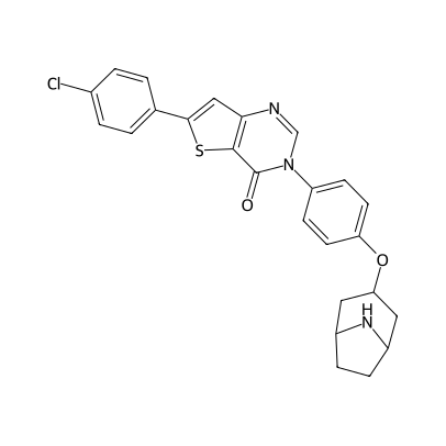 O=c1c2sc(-c3ccc(Cl)cc3)cc2ncn1-c1ccc(OC2CC3CCC(C2)N3)cc1